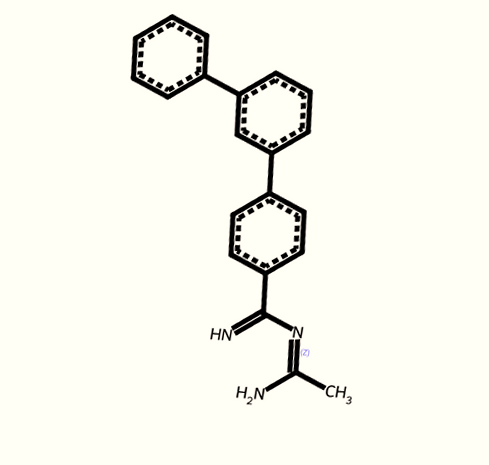 C/C(N)=N/C(=N)c1ccc(-c2cccc(-c3ccccc3)c2)cc1